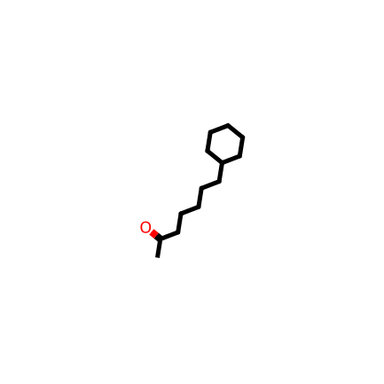 CC(=O)CCCCCC1CCCCC1